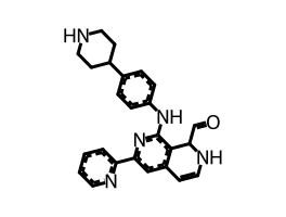 O=CC1NC=Cc2cc(-c3ccccn3)nc(Nc3ccc(C4CCNCC4)cc3)c21